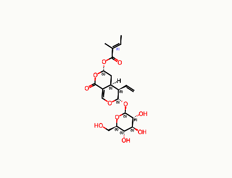 C=C[C@H]1[C@H](O[C@@H]2O[C@H](CO)[C@@H](O)[C@H](O)[C@H]2O)OC=C2C(=O)O[C@H](OC(=O)/C(C)=C/C)C[C@H]21